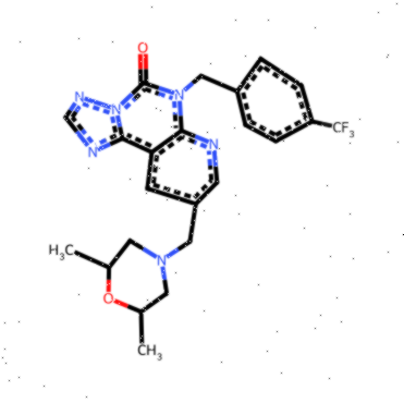 CC1CN(Cc2cnc3c(c2)c2ncnn2c(=O)n3Cc2ccc(C(F)(F)F)cc2)CC(C)O1